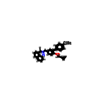 COc1ccc(-c2cc(CN[C@H](C)c3cccc4ccccc34)ccc2OCC2CC2)cc1